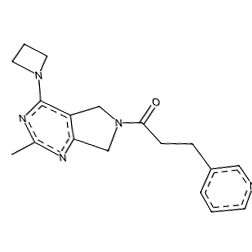 Cc1nc2c(c(N3CCC3)n1)CN(C(=O)CCc1cccnc1)C2